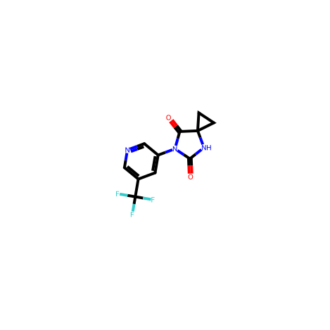 O=C1NC2(CC2)C(=O)N1c1cncc(C(F)(F)F)c1